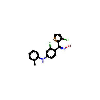 Cc1ccccc1Nc1ccc(/C(=N/O)c2sccc2Cl)c(Cl)c1